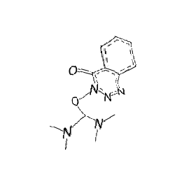 CN(C)C(On1nnc2ccccc2c1=O)N(C)C